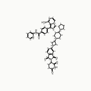 Nc1nccn2c([C@@H]3CCCN3C3CCN(C4CN(c5ccc6c(c5)C(=O)N(C5CCC(=O)NC5=O)C6=O)C4)CC3)nc(-c3ccc(C(=O)Nc4ccccn4)cc3)c12